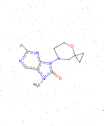 Cn1c(=O)n(N2CCOC3(CC3)C2)c2nc(Cl)ncc21